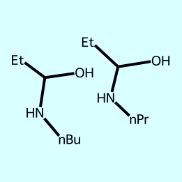 CCCCNC(O)CC.CCCNC(O)CC